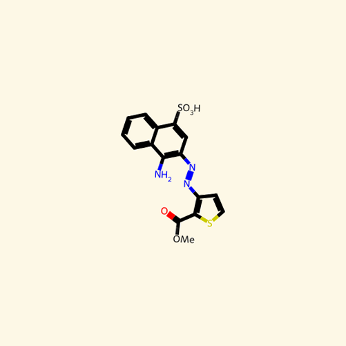 COC(=O)c1sccc1N=Nc1cc(S(=O)(=O)O)c2ccccc2c1N